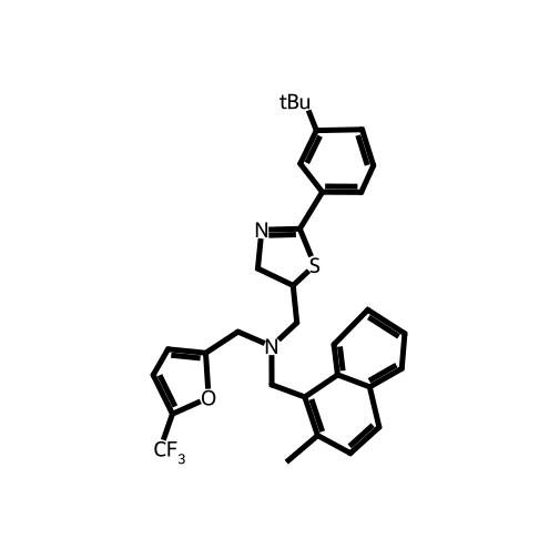 Cc1ccc2ccccc2c1CN(Cc1ccc(C(F)(F)F)o1)CC1CN=C(c2cccc(C(C)(C)C)c2)S1